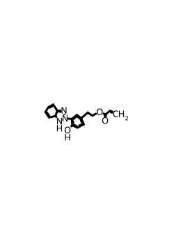 C=CC(=O)OCCc1ccc(O)c(N2N=C3C=CC=CC3N2)c1